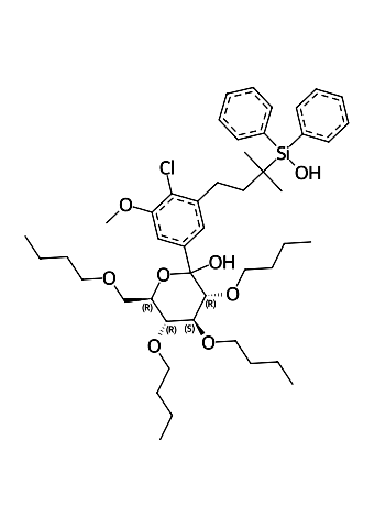 CCCCOC[C@H]1OC(O)(c2cc(CCC(C)(C)[Si](O)(c3ccccc3)c3ccccc3)c(Cl)c(OC)c2)[C@H](OCCCC)[C@@H](OCCCC)[C@@H]1OCCCC